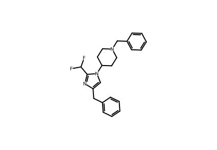 FC(F)c1nc(Cc2ccccc2)cn1C1CCN(Cc2ccccc2)CC1